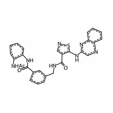 CC(=O)Nc1ccccc1NC(=O)c1cccc(CNC(=O)c2cnsc2Nc2cnc3ccccc3n2)c1